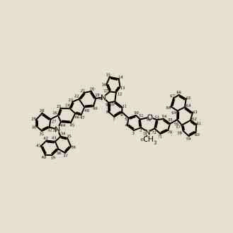 CN1c2ccc(-c3ccc4c(c3)c3ccccc3n4-c3ccc4cc5cc6c7ccccc7n(-c7cccc8ccccc78)c6cc5cc4c3)cc2Oc2cc(-c3c4ccccc4cc4ccccc34)ccc21